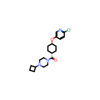 O=C([C@H]1CC[C@H](Oc2ccc(Cl)nc2)CC1)N1CCN(C2CCC2)CC1